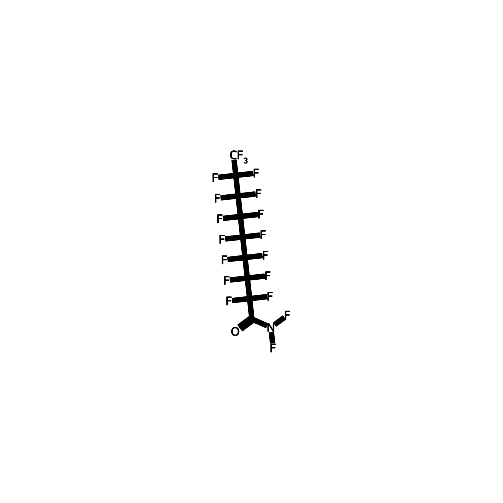 O=C(N(F)F)C(F)(F)C(F)(F)C(F)(F)C(F)(F)C(F)(F)C(F)(F)C(F)(F)C(F)(F)F